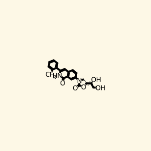 O=C1O[C@@H]([C@@H](O)CO)CN1c1ccc2cc(-c3ccccc3C(F)(F)F)[nH]c(=O)c2c1